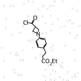 CCOC(=O)CCc1ccc(N2CC(C(=O)Cl)C2)cc1